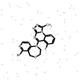 Cc1nnc2nc(N3CCOCc4c3ccnc4Br)c3c(F)cccc3n12